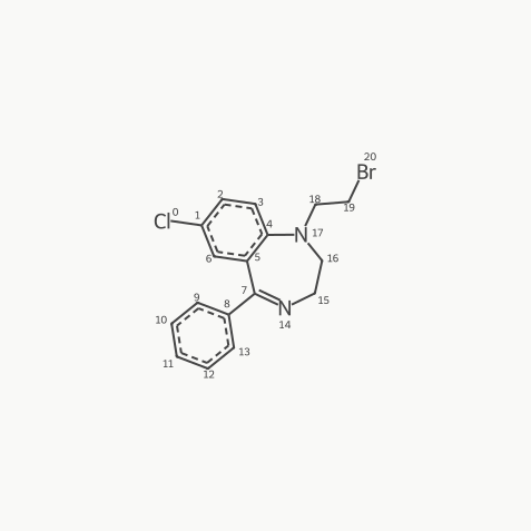 Clc1ccc2c(c1)C(c1ccccc1)=NCCN2CCBr